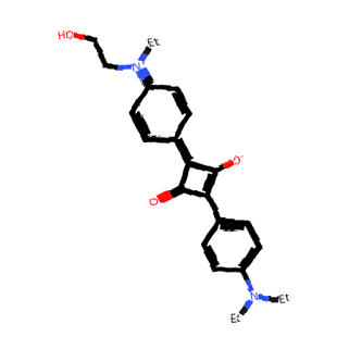 CCN(CC)c1ccc(C2=C([O-])C(=C3C=CC(=[N+](CC)CCO)C=C3)C2=O)cc1